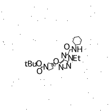 CCn1c(C(=O)NC2CCCCC2)nc2c(O[C@H]3CCN(C(=O)OC(C)(C)C)C3)ncnc21